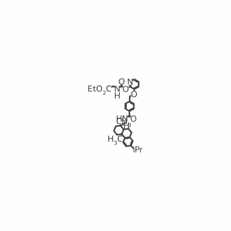 CCOC(=O)CNC(=O)Oc1ncccc1OCc1ccc(C(=O)NC[C@@]2(C)CCC[C@]3(C)c4ccc(C(C)C)cc4CC[C@@H]23)cc1